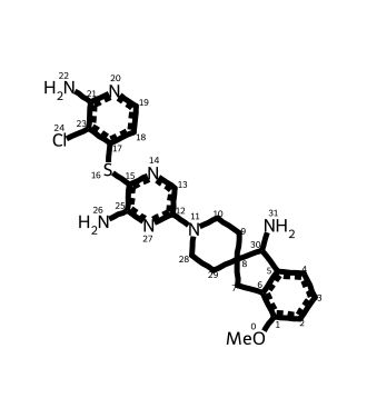 COc1cccc2c1CC1(CCN(c3cnc(Sc4ccnc(N)c4Cl)c(N)n3)CC1)C2N